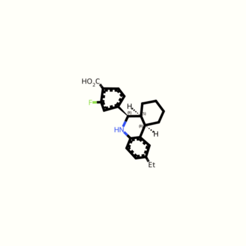 CCc1ccc2c(c1)[C@@H]1CCCC[C@@H]1[C@H](c1ccc(C(=O)O)c(F)c1)N2